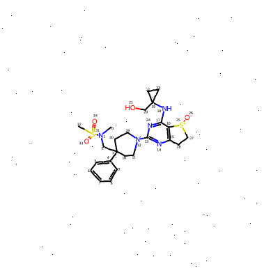 CN(CC1(c2ccccc2)CCN(c2nc3c(c(NC4(CO)CC4)n2)[S+]([O-])CC3)CC1)S(C)(=O)=O